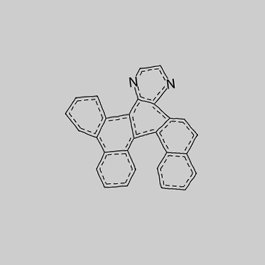 c1ccc2c(c1)ccc1c3nccnc3c3c4ccccc4c4ccccc4c3c21